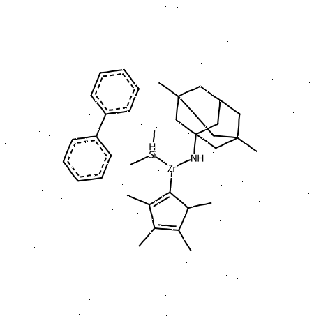 CC1=C(C)C(C)[C]([Zr]([NH]C23CC4CC(C)(CC(C)(C4)C2)C3)[SiH](C)C)=C1C.c1ccc(-c2ccccc2)cc1